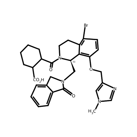 Cn1cnc(COc2ccc(Br)c3c2[C@@H](CN2Cc4ccccc4C2=O)N(C(=O)C2CCCCC2C(=O)O)CC3)c1